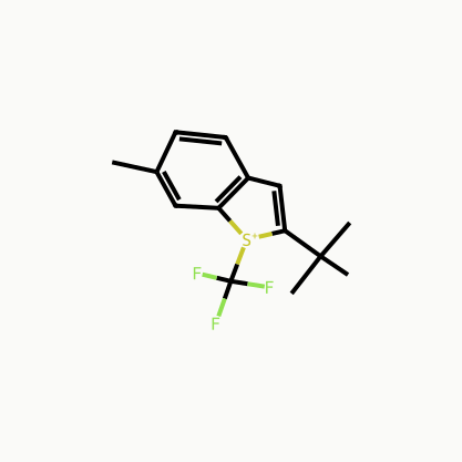 Cc1ccc2cc(C(C)(C)C)[s+](C(F)(F)F)c2c1